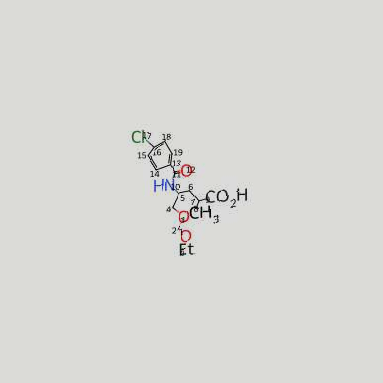 CCOCOCC(CC(C)C(=O)O)NC(=O)c1ccc(Cl)cc1